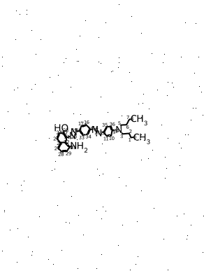 CCCCN(CCCC)c1ccc(N=Nc2ccc(N=Nc3c(O)ccc4cccc(N)c34)cc2)cc1